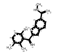 C=C(NC)c1ccc2cc(C(=N)c3c(S)ncc(C)c3C)sc2c1